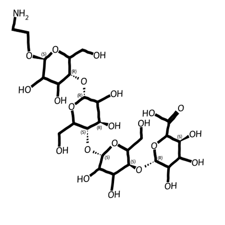 NCCO[C@H]1OC(CO)[C@H](O[C@H]2OC(CO)[C@@H](O[C@@H]3OC(CO)[C@@H](O[C@@H]4OC(C(=O)O)[C@@H](O)C(O)C4O)C(O)C3O)[C@H](O)C2O)C(O)C1O